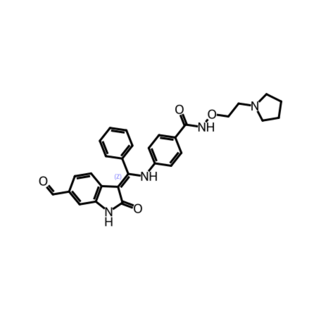 O=Cc1ccc2c(c1)NC(=O)/C2=C(\Nc1ccc(C(=O)NOCCN2CCCC2)cc1)c1ccccc1